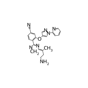 C=N/C(=N\C=C(/C)CCN)c1ccc(C#N)cc1Oc1cnn(-c2ccccn2)c1